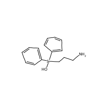 NCCC[Si](O)(c1ccccc1)c1ccccc1